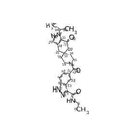 CCNC(=O)c1n[nH]c2ccc(C(=O)N3CCC4(CC3)CC(=O)c3c(cnn3C(C)C)C4)cc12